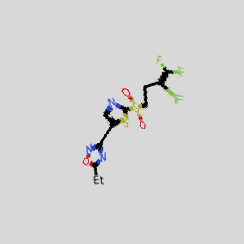 CCc1nc(-c2cnc(S(=O)(=O)CCC(F)=C(F)F)s2)no1